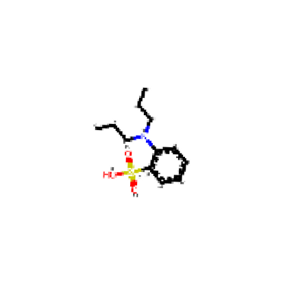 CCCN(CCC)c1ccc[c]c1S(=O)(=O)O